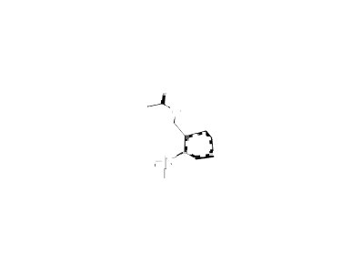 O=C(I)OCc1ccccc1NI